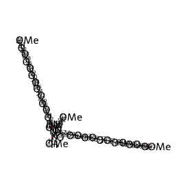 COCCCNc1nc(C(=O)NCCOCCOCCOCCOCCOCCOCCOCCOCCOCCOCCOCCOC)c(NCCCOC)nc1C(=O)CCCOCCOCCOCCOCCOCCOCCOCCOCCOCCOCCOCCOC